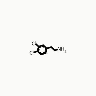 NC[CH]c1ccc(Cl)c(Cl)c1